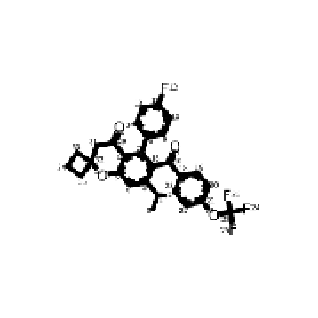 CC(C)c1cc2c(c(-c3ccc(F)cc3)c1C(=O)c1ccc(OC(F)(F)F)cc1)C(=O)CC1(CCC1)O2